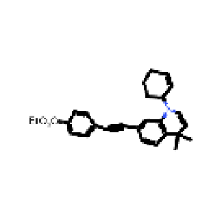 CCOC(=O)c1ccc(C#Cc2ccc3c(c2)N(C2C=CCCC2)C=CC3(C)C)cc1